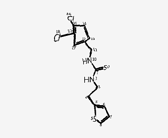 S=C(NCCc1cccs1)NCc1ccc(Cl)c(Cl)c1